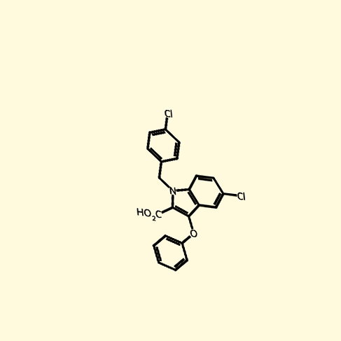 O=C(O)c1c(Oc2ccccc2)c2cc(Cl)ccc2n1Cc1ccc(Cl)cc1